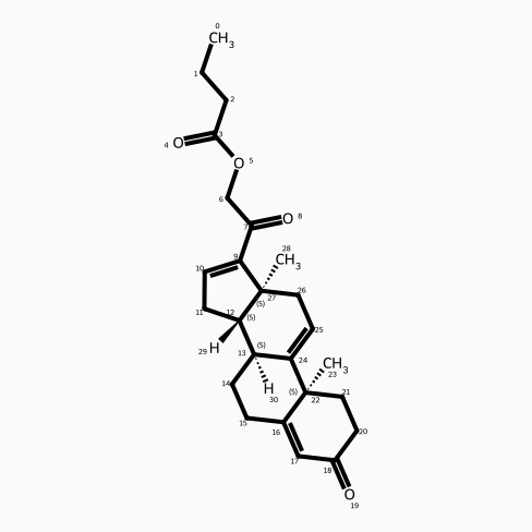 CCCC(=O)OCC(=O)C1=CC[C@H]2[C@@H]3CCC4=CC(=O)CC[C@]4(C)C3=CC[C@]12C